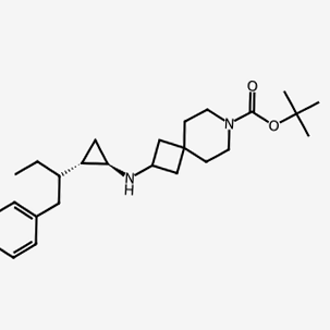 CCC(Cc1ccccc1)[C@@H]1C[C@H]1NC1CC2(CCN(C(=O)OC(C)(C)C)CC2)C1